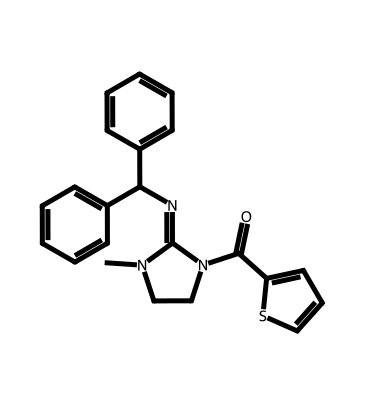 CN1CCN(C(=O)c2cccs2)C1=NC(c1ccccc1)c1ccccc1